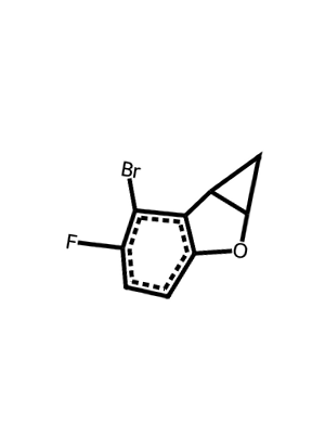 Fc1ccc2c(c1Br)C1CC1O2